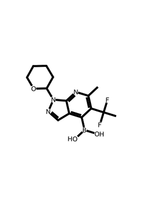 Cc1nc2c(cnn2C2CCCCO2)c(B(O)O)c1C(C)(F)F